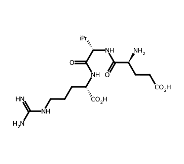 CC(C)[C@H](NC(=O)[C@@H](N)CCC(=O)O)C(=O)N[C@@H](CCCNC(=N)N)C(=O)O